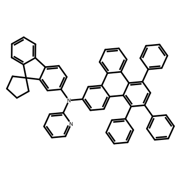 c1ccc(-c2cc(-c3ccccc3)c3c4ccccc4c4cc(N(c5ccc6c(c5)C5(CCCC5)c5ccccc5-6)c5ccccn5)ccc4c3c2-c2ccccc2)cc1